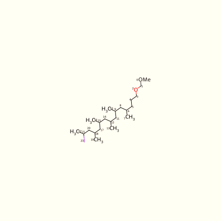 COCOCCCC(C)CC(C)CC(C)CC(C)CC(C)CC(C)I